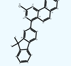 CC1(C)c2ccccc2-c2ccc(-c3nc(Cl)nc4c3ccc3ccccc34)cc21